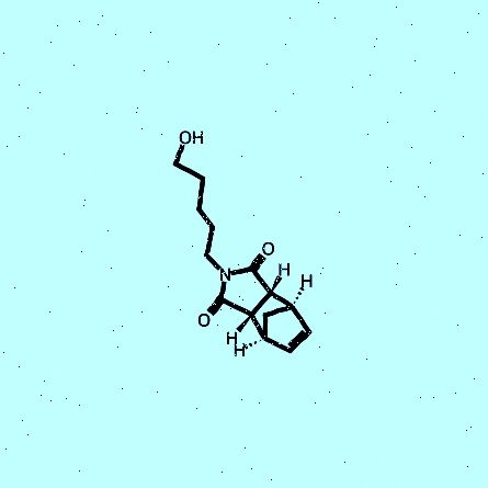 O=C1[C@@H]2[C@H](C(=O)N1CCCCCO)[C@H]1C=C[C@@H]2C1